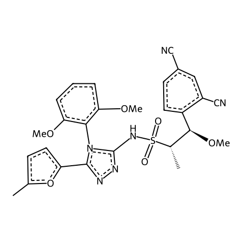 COc1cccc(OC)c1-n1c(NS(=O)(=O)[C@@H](C)[C@H](OC)c2ccc(C#N)cc2C#N)nnc1-c1ccc(C)o1